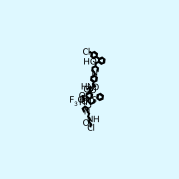 O=C(CCl)NCCN1CCC[C@H]1C[C@H](CSc1ccccc1)Nc1ccc(S(=O)(=O)NC(=O)c2ccc(N3CCC([C@@H](O)c4ccccc4-c4ccc(Cl)cc4)CC3)cc2)cc1S(=O)(=O)C(F)(F)F